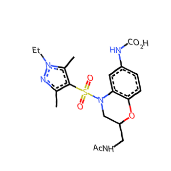 CCn1nc(C)c(S(=O)(=O)N2CC(CNC(C)=O)Oc3ccc(NC(=O)O)cc32)c1C